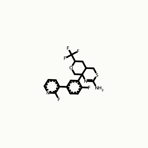 NC1=NC2(c3cc(-c4cccnc4F)ccc3F)COC(C(F)(F)F)CC2CS1